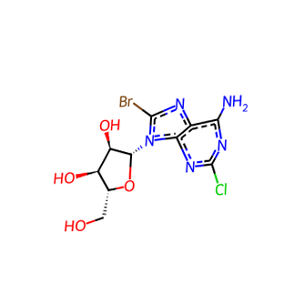 Nc1nc(Cl)nc2c1nc(Br)n2[C@@H]1O[C@H](CO)[C@@H](O)[C@H]1O